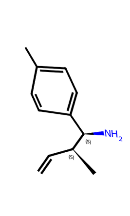 C=C[C@H](C)[C@H](N)c1ccc(C)cc1